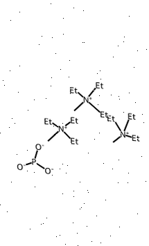 CC[N+](C)(CC)CC.CC[N+](C)(CC)CC.CC[N+](C)(CC)CC.[O-]P([O-])[O-]